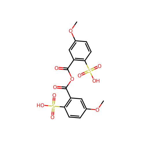 COc1ccc(S(=O)(=O)O)c(C(=O)OC(=O)c2cc(OC)ccc2S(=O)(=O)O)c1